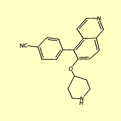 N#Cc1ccc(-c2c(OC3CCNCC3)ccc3cnccc23)cc1